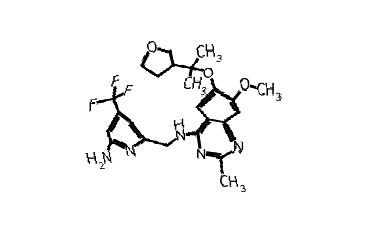 COc1cc2nc(C)nc(NCc3cc(C(F)(F)F)cc(N)n3)c2cc1OC(C)(C)C1CCOC1